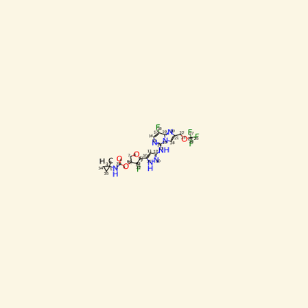 CC1(NC(=O)O[C@H]2CO[C@@H](c3cc(Nc4ncc(F)c5nc(COC(F)(F)F)cn45)n[nH]3)[C@@H]2F)CC1